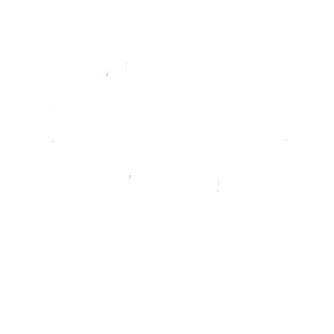 CCNc1cc(C(=O)N[C@@H](Cc2ccccc2)[C@H](O)CNCc2cc(Cl)cc(Cl)c2)cc(N2CCCS2(=O)=O)c1.Cl